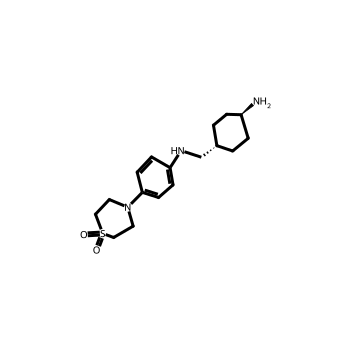 N[C@H]1CC[C@H](CNc2ccc(N3CCS(=O)(=O)CC3)cc2)CC1